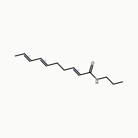 C/C=C/C=C/CC/C=C/C(=O)NCCC